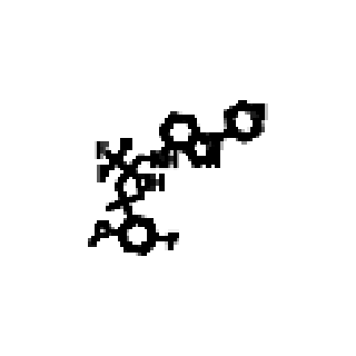 COc1ccc(F)cc1C(C)(C)CC(O)(CNc1cccc2c1cnn2-c1ccncc1)C(F)(F)F